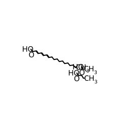 CC(=O)O.CCCC(=O)O.CCCCCCCCCCCC=CC=CC=CC(=O)O